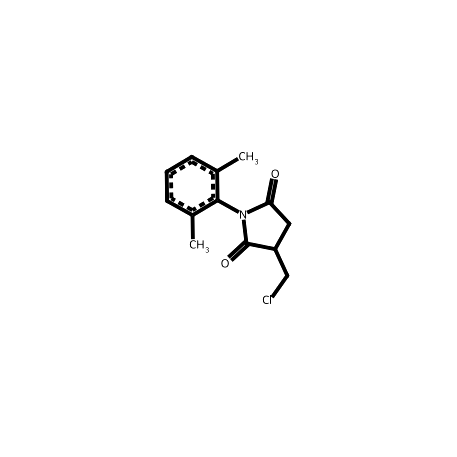 Cc1cccc(C)c1N1C(=O)CC(CCl)C1=O